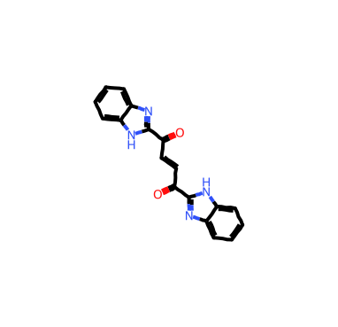 O=C(C=CC(=O)c1nc2ccccc2[nH]1)c1nc2ccccc2[nH]1